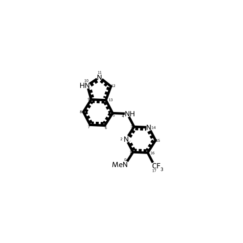 CNc1nc(Nc2cccc3[nH]ncc23)ncc1C(F)(F)F